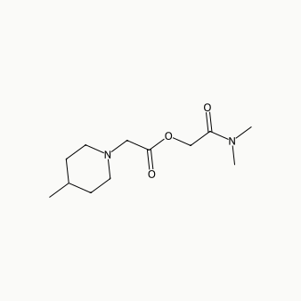 CC1CCN(CC(=O)OCC(=O)N(C)C)CC1